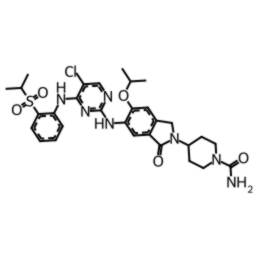 CC(C)Oc1cc2c(cc1Nc1ncc(Cl)c(Nc3ccccc3S(=O)(=O)C(C)C)n1)C(=O)N(C1CCN(C(N)=O)CC1)C2